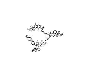 CC[N+]1=C(/C=C/C=C/C=C2/N(CCCCCC(=O)NCC[C@H](C(=O)NO)N(Cc3ccc(-c4ccc(OC)cc4)cc3)OC(C)C)c3ccc4c(S(=O)(=O)O)cccc4c3C2(C)C)C(C)(C)c2c1ccc1c(C)cc(S(=O)(=O)O)cc21